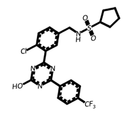 O=S(=O)(NCc1ccc(Cl)c(-c2nc(O)nc(-c3ccc(C(F)(F)F)cc3)n2)c1)C1CCCC1